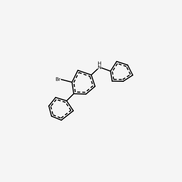 Brc1cc(Nc2ccccc2)ccc1-c1ccccc1